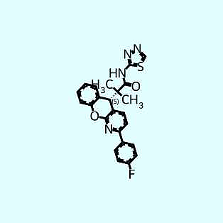 CC(C)(C(=O)Nc1nncs1)[C@H]1c2ccccc2Oc2nc(-c3ccc(F)cc3)ccc21